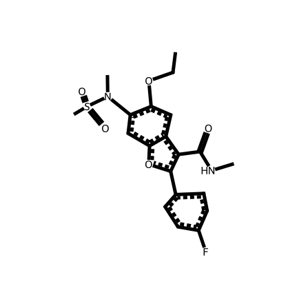 CCOc1cc2c(C(=O)NC)c(-c3ccc(F)cc3)oc2cc1N(C)S(C)(=O)=O